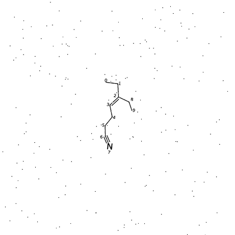 CCC(=CCCC#N)CC